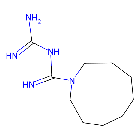 N=C(N)NC(=N)N1CCCCCCCC1